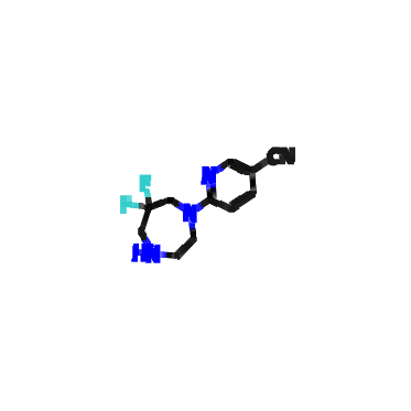 N#Cc1ccc(N2CCNCC(F)(F)C2)nc1